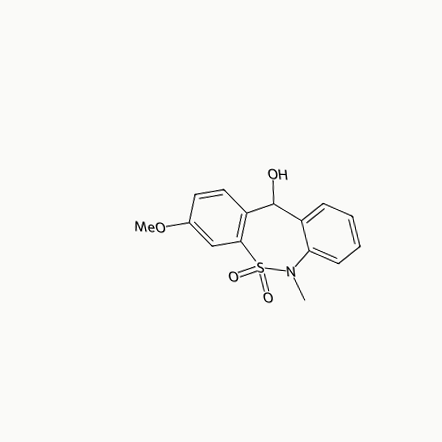 COc1ccc2c(c1)S(=O)(=O)N(C)c1ccccc1C2O